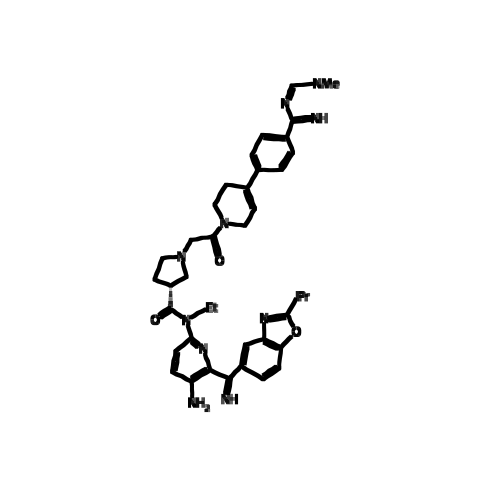 CCN(C(=O)[C@@H]1CCN(CC(=O)N2CC=C(c3ccc(C(=N)/N=C\NC)cc3)CC2)C1)c1ccc(N)c(C(=N)c2ccc3oc(C(C)C)nc3c2)n1